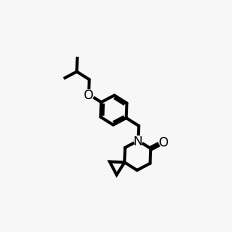 CC(C)COc1ccc(CN2CC3(CCC2=O)CC3)cc1